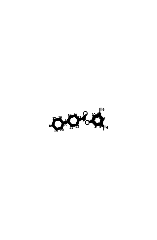 O=C(Oc1cc(F)cc(F)c1)C1CCC(C2CCCCC2)CC1